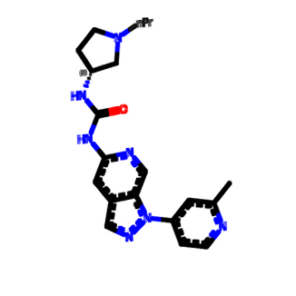 CCCN1CC[C@@H](NC(=O)Nc2cc3cnn(-c4ccnc(C)c4)c3cn2)C1